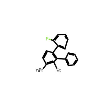 CCCc1ccc(-c2ccccc2F)c(-c2ccccc2)c1CC